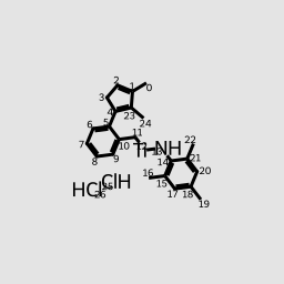 CC1=CCC(c2ccccc2[CH2][Ti][NH]c2c(C)cc(C)cc2C)=C1C.Cl.Cl